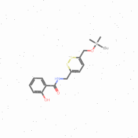 CC(C)(C)[Si](C)(C)OCC1=CC=C(CNC(=O)c2ccccc2O)SS1